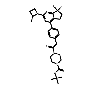 C[C@H]1CCN1c1nc(-c2ccc(CC(=O)N3CCN(C(=O)OC(C)(C)C)CC3)cc2)c2c(n1)C(F)(F)CC2